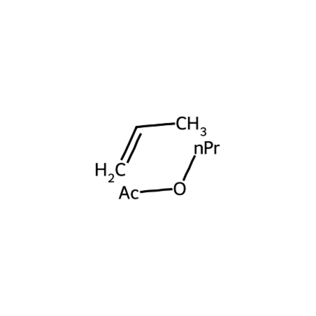 C=CC.CCCOC(C)=O